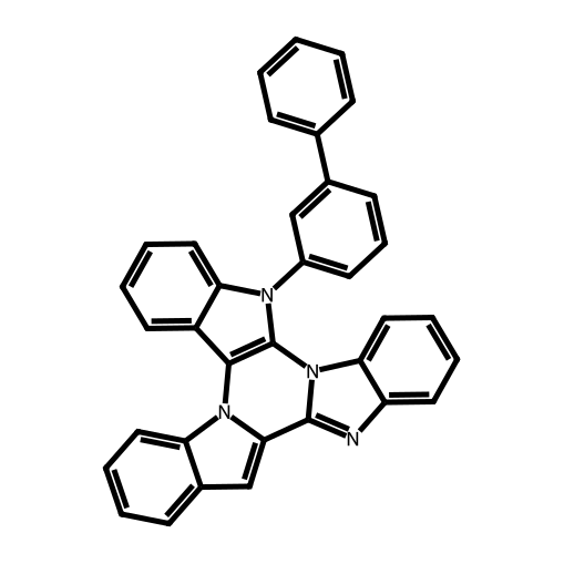 c1ccc(-c2cccc(-n3c4ccccc4c4c3n3c5ccccc5nc3c3cc5ccccc5n34)c2)cc1